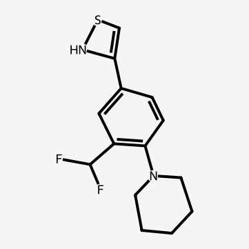 FC(F)c1cc(-c2cs[nH]2)ccc1N1CCCCC1